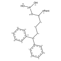 CCCCCC(CCCC(c1ccccc1)c1ccccc1)OP(O)O